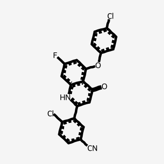 N#Cc1ccc(Cl)c(-c2cc(=O)c3c(Oc4ccc(Cl)cc4)cc(F)cc3[nH]2)c1